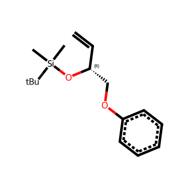 C=C[C@H](COc1ccccc1)O[Si](C)(C)C(C)(C)C